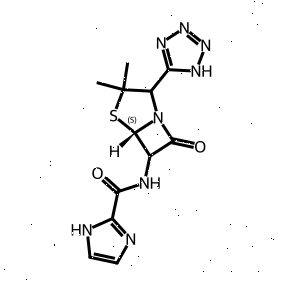 CC1(C)S[C@H]2C(NC(=O)c3ncc[nH]3)C(=O)N2C1c1nnn[nH]1